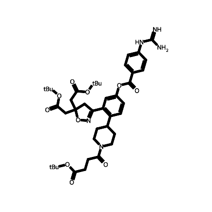 CC(C)(C)OC(=O)CCC(=O)N1CCC(c2ccc(OC(=O)c3ccc(NC(=N)N)cc3)cc2C2=NOC(CC(=O)OC(C)(C)C)(CC(=O)OC(C)(C)C)C2)CC1